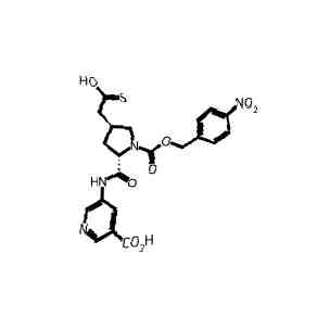 O=C(O)c1cncc(NC(=O)[C@@H]2C[C@@H](CC(O)=S)CN2C(=O)OCc2ccc([N+](=O)[O-])cc2)c1